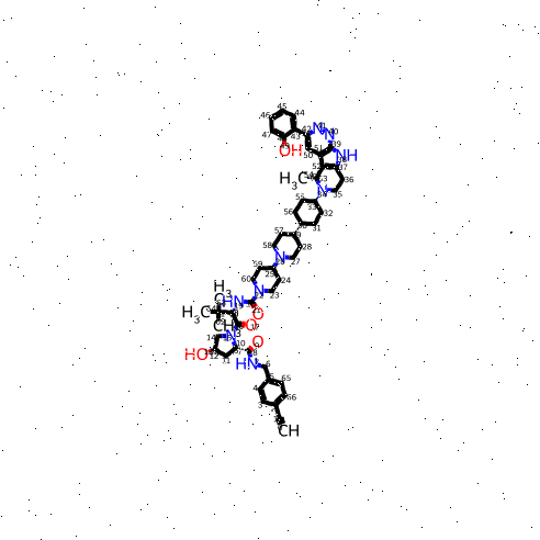 C#Cc1ccc(CNC(=O)[C@@H]2C[C@@H](O)CN2C(=O)[C@@H](NC(=O)N2CCC(N3CCC([C@H]4CC[C@@H](N5CCc6[nH]c7nnc(-c8ccccc8O)cc7c6[C@H]5C)CC4)CC3)CC2)C(C)(C)C)cc1